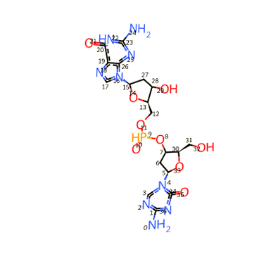 Nc1ncn([C@H]2CC(O[PH](=O)OC[C@H]3O[C@@H](n4cnc5c(=O)[nH]c(N)nc54)CC3O)[C@@H](CO)O2)c(=O)n1